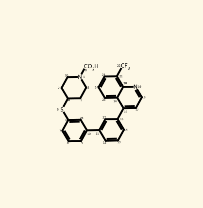 O=C(O)N1CCC(Sc2cccc(-c3cccc(-c4ccnc5c(C(F)(F)F)cccc45)c3)c2)CC1